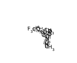 CC1=C(C(=O)N2CCc3ccc(C(F)(F)F)cc3C2)C2(CCN(C3CCN(C)CC3)CC2)OC1=O